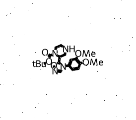 COc1ccc(N2C=NOC2C2CNCCN2C(=O)OC(C)(C)C)cc1OC